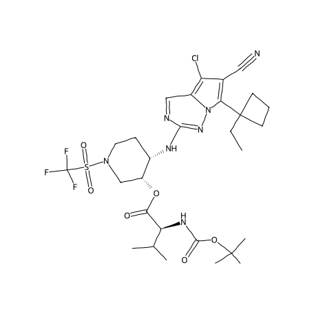 CCC1(c2c(C#N)c(Cl)c3cnc(N[C@H]4CCN(S(=O)(=O)C(F)(F)F)C[C@H]4OC(=O)[C@@H](NC(=O)OC(C)(C)C)C(C)C)nn23)CCC1